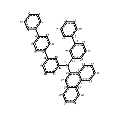 c1ccc(-c2ccc(-c3cccc(N(c4cccc(-c5ccccc5)c4)c4cc5ccccc5c5ccccc45)c3)cc2)cc1